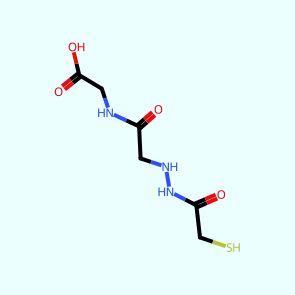 O=C(O)CNC(=O)CNNC(=O)CS